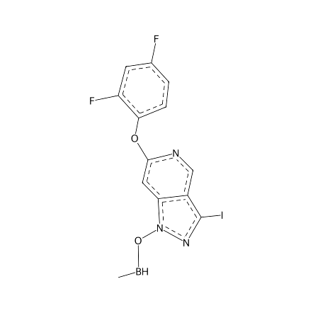 CBOn1nc(I)c2cnc(Oc3ccc(F)cc3F)cc21